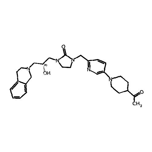 CC(=O)C1CCN(c2ccc(CN3CCN(C[C@H](O)CN4CCc5ccccc5C4)C3=O)nc2)CC1